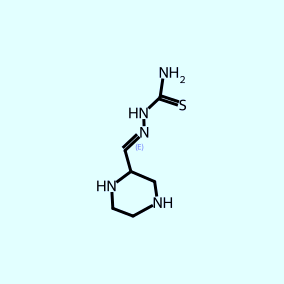 NC(=S)N/N=C/C1CNCCN1